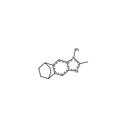 Cc1nc2cc3c(cc2n1C(C)C)C1CCC3CC1